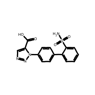 NS(=O)(=O)c1ccccc1-c1ccc(-n2nncc2C(=O)O)cc1